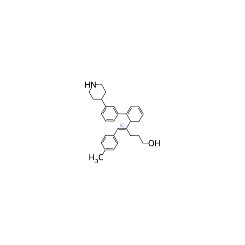 Cc1ccc(/C=C(\CCCO)C2CC=CC=C2c2cccc(C3CCNCC3)c2)cc1